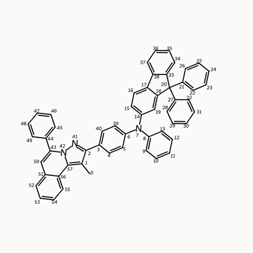 Cc1c(-c2ccc(N(c3ccccc3)c3ccc4c(c3)C(c3ccccc3)(c3ccccc3)c3ccccc3-4)cc2)nn2c(-c3ccccc3)cc3ccccc3c12